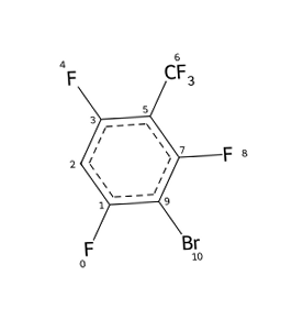 Fc1cc(F)c(C(F)(F)F)c(F)c1Br